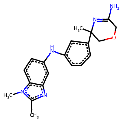 Cc1nc2cc(Nc3cccc(C4(C)COCC(N)=N4)c3)ccc2n1C